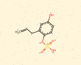 C=CCc1cc(O)ccc1OS(=O)(=O)O